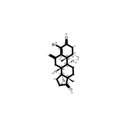 C=C1C[C@@H]2[C@H](CC[C@]3(C)C(=O)CC[C@@H]23)[C@]2(C)C1=C(Br)C(=O)C[C@@H]2C